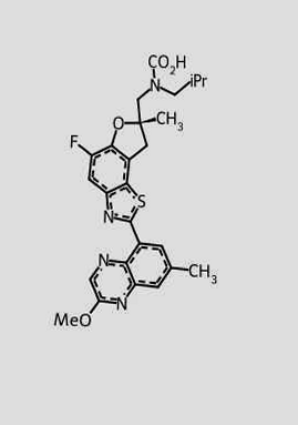 COc1cnc2c(-c3nc4cc(F)c5c(c4s3)C[C@@](C)(CN(CC(C)C)C(=O)O)O5)cc(C)cc2n1